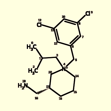 CC(C)C[N+]1(Cc2cc(Cl)cc(Cl)c2)CCC[C@H](CN)C1